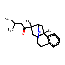 CCOC(=O)C1(C(=O)CC(C)SC)CC2C3Cc4ccccc4C2(CC)CC1N3